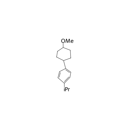 COC1CCC(c2ccc(C(C)C)cc2)CC1